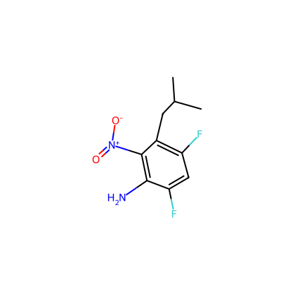 CC(C)Cc1c(F)cc(F)c(N)c1[N+](=O)[O-]